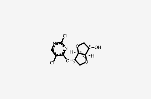 O[C@@H]1CO[C@H]2[C@@H]1OC[C@@H]2Oc1nc(Cl)ncc1Cl